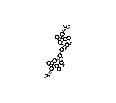 CCC1(COc2ccc(C3(c4ccc5ccccc5c4)c4ccccc4-c4ccc(N(c5ccc(-c6ccc(N(c7ccc8c(c7)C(c7ccc(OCC9(CC)COC9)cc7)(c7ccc9ccccc9c7)c7ccccc7-8)c7ccc(F)cc7F)cc6)cc5)c5ccc(F)cc5F)cc43)cc2)COC1